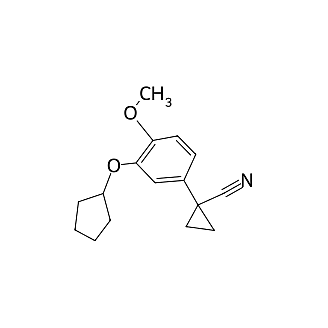 COc1ccc(C2(C#N)CC2)cc1OC1CCCC1